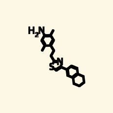 Cc1cc(CCc2nc(-c3ccc4c(c3)CCCC4)cs2)c(C)cc1N